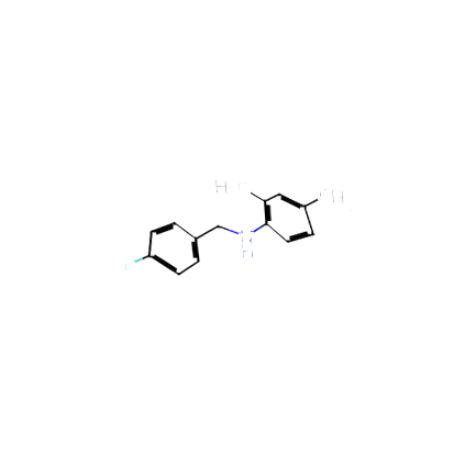 Cc1ccc(NCc2ccc(F)cc2)c(C)c1